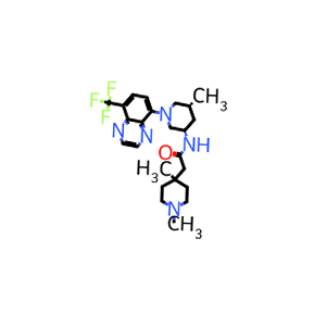 C[C@H]1C[C@@H](NC(=O)CC2(C)CCN(C)CC2)CN(c2ccc(C(F)(F)F)c3nccnc23)C1